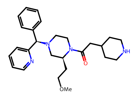 COCC[C@H]1CN([C@H](c2ccccc2)c2ccccn2)CCN1C(=O)CC1CCNCC1